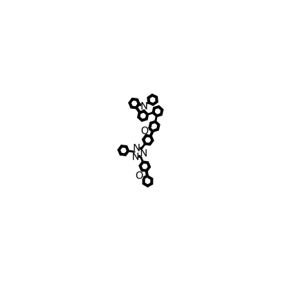 c1ccc(-c2nc(-c3ccc4c(c3)oc3ccccc34)nc(-c3ccc4c(c3)oc3cc(-c5ccccc5-c5cccc6c7ccccc7n(-c7ccccc7)c56)ccc34)n2)cc1